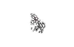 Cc1ccc(C2=N/C(=C\c3c(-c4ccccc4)cc(-c4ccccc4)n3B(OCC(F)C(F)F)OCC(F)(F)C(F)(F)F)c3ccccc32)cc1